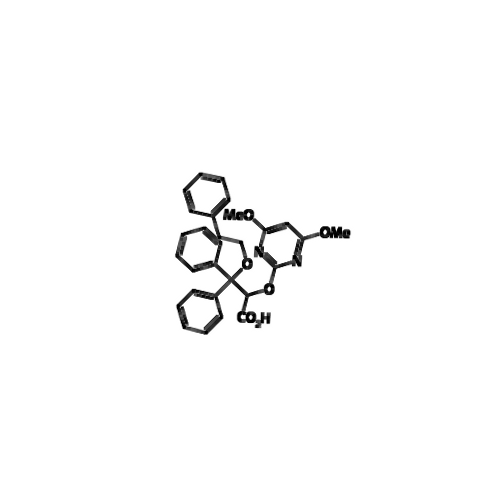 COc1cc(OC)nc(OC(C(=O)O)C(OCCc2ccccc2)(c2ccccc2)c2ccccc2)n1